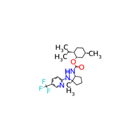 CC(C)[C@H]1CC[C@@H](C)CC1OC(=O)NC1CCCC1(C)Nc1ccc(C(F)(F)F)cn1